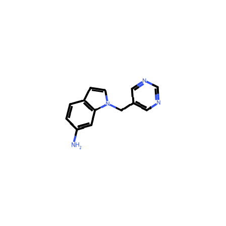 Nc1ccc2ccn(Cc3cncnc3)c2c1